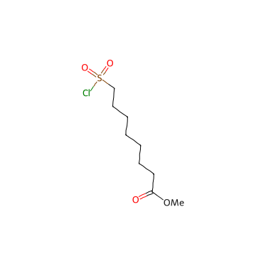 COC(=O)CCCCCCCS(=O)(=O)Cl